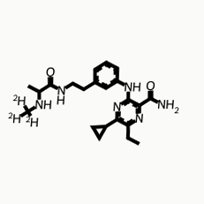 [2H]C([2H])([2H])NC(C)C(=O)NCCc1cccc(Nc2nc(C3CC3)c(CC)nc2C(N)=O)c1